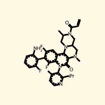 C=CC(=O)N1CC2CN(C)c3c(c4cc(F)c(-c5c(N)cccc5F)c(F)c4n(-c4c(C)ccnc4C(C)C)c3=O)N2CC1C